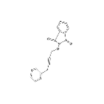 O=C1c2ccccc2C(=O)N1OCC#CCc1ccccc1